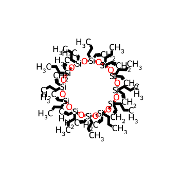 C=C[Si]1(CCC)O[Si](C=C)(CCC)O[Si](C=C)(CCC)O[Si](C=C)(CCC)O[Si](C=C)(CCC)O[Si](C=C)(CCC)O[Si](C=C)(CCC)O[Si](C=C)(CCC)O[Si](C=C)(CCC)O[Si](C=C)(CCC)O[Si](C=C)(CCC)O[Si](C=C)(CCC)O1